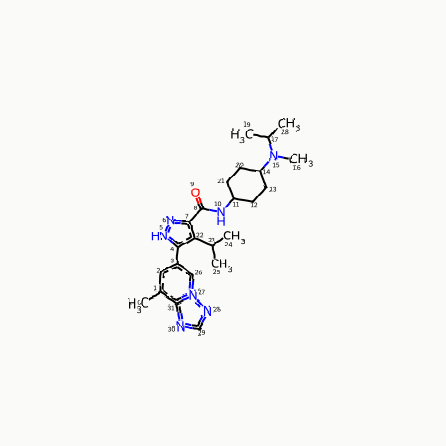 Cc1cc(-c2[nH]nc(C(=O)NC3CCC(N(C)C(C)C)CC3)c2C(C)C)cn2ncnc12